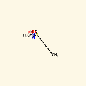 CCC=CCC=CCC=CCC=CCC=CCCCCSC(CC)(CC)C(=O)N[C@@H](CC(C)C)C(=O)O